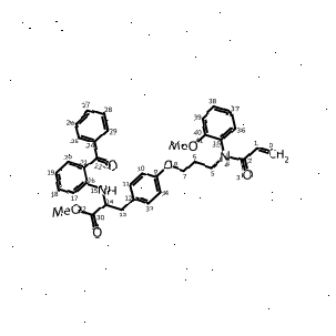 C=CC(=O)N(CCCOc1ccc(CC(Nc2ccccc2C(=O)c2ccccc2)C(=O)OC)cc1)c1ccccc1OC